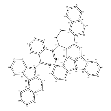 N=C(c1ccccc1C(=N)n1c2ccccc2c2c3ccccc3ccc21)C1CCc2c(ccc3ccccc23)-c2cc3c4ccccc4n4c5ccccc5c(c21)c34